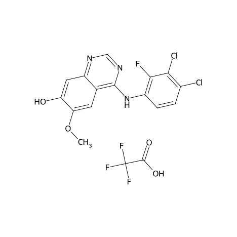 COc1cc2c(Nc3ccc(Cl)c(Cl)c3F)ncnc2cc1O.O=C(O)C(F)(F)F